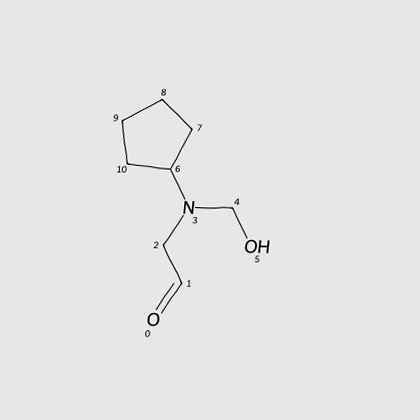 O=CCN(CO)C1CCCC1